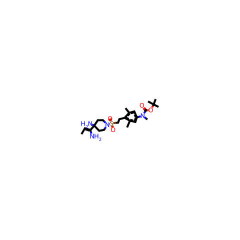 CC=C(N)C1(N)CCN(S(=O)(=O)CCc2c(C)cc(N(C)C(=O)OC(C)(C)C)cc2C)CC1